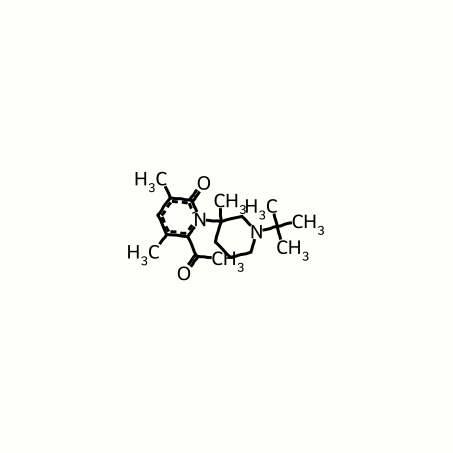 CC(=O)c1c(C)cc(C)c(=O)n1C1(C)CCCN(C(C)(C)C)C1